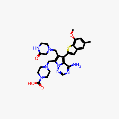 COc1cc(C)cc2cc(-c3c(CN4CCNC(=O)C4)c(CN4CCN(C(=O)O)CC4)n4ncnc(N)c34)sc12